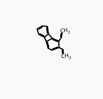 C=Cc1ccc2c(c1C=C)-c1ccccc1-2